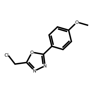 COc1ccc(-c2nnc(CCl)o2)cc1